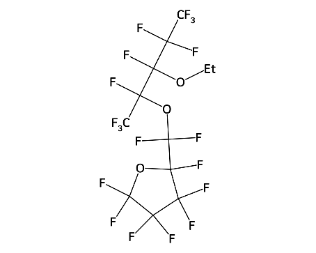 CCOC(F)(C(F)(F)C(F)(F)F)C(F)(OC(F)(F)C1(F)OC(F)(F)C(F)(F)C1(F)F)C(F)(F)F